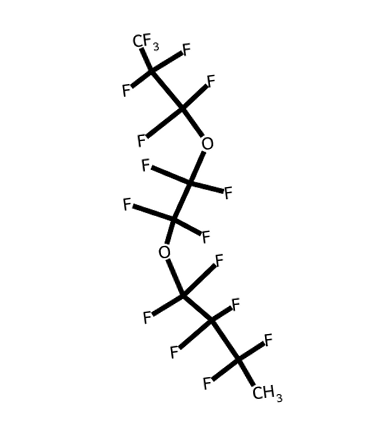 CC(F)(F)C(F)(F)C(F)(F)OC(F)(F)C(F)(F)OC(F)(F)C(F)(F)C(F)(F)F